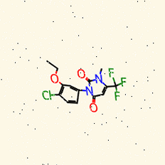 CCOc1cc(-n2c(=O)cc(C(F)(F)F)n(C)c2=O)ccc1Cl